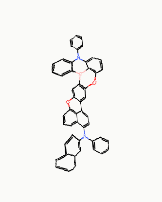 c1ccc(N2c3ccccc3B3c4cc5c(cc4Oc4cccc2c43)-c2ccc(N(c3ccccc3)c3ccc4ccccc4c3)c3cccc(c23)O5)cc1